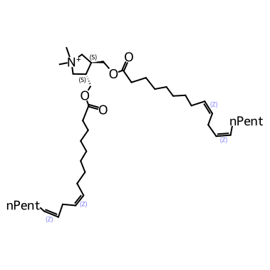 CCCCC/C=C\C/C=C\CCCCCCCC(=O)OC[C@@H]1C[N+](C)(C)C[C@H]1COC(=O)CCCCCCC/C=C\C/C=C\CCCCC